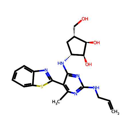 C=CCNc1nc(C)c(-c2nc3ccccc3s2)c(N[C@@H]2C[C@H](CO)[C@@H](O)[C@H]2O)n1